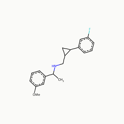 COc1cccc(C(C)NCC2CC2c2cccc(F)c2)c1